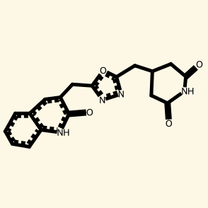 O=C1CC(Cc2nnc(Cc3cc4ccccc4[nH]c3=O)o2)CC(=O)N1